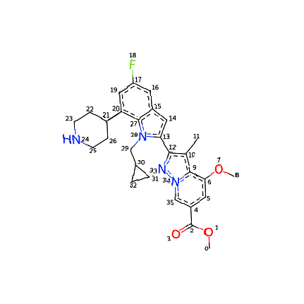 COC(=O)c1cc(OC)c2c(C)c(-c3cc4cc(F)cc(C5CCNCC5)c4n3CC3CC3)nn2c1